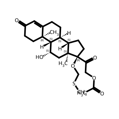 CSCO[C@]1(C(=O)COC(C)=O)CC[C@H]2[C@@H]3CCC4=CC(=O)CC[C@]4(C)[C@H]3[C@@H](O)C[C@@]21C